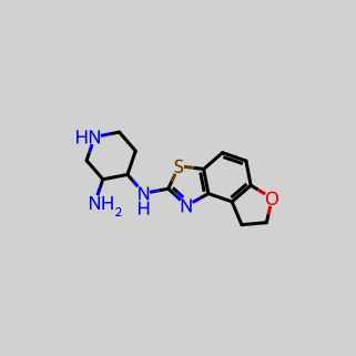 NC1CNCCC1Nc1nc2c3c(ccc2s1)OCC3